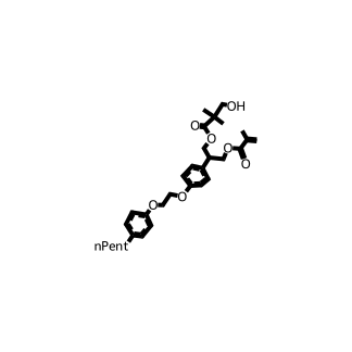 C=C(C)C(=O)OCC(COC(=O)C(C)(C)CO)c1ccc(OCCOc2ccc(CCCCC)cc2)cc1